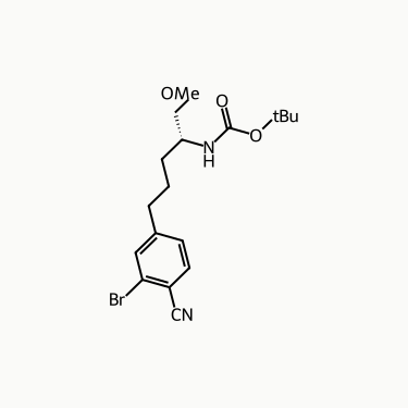 COC[C@@H](CCCc1ccc(C#N)c(Br)c1)NC(=O)OC(C)(C)C